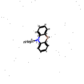 CCCCCCCN1c2ccccc2Sc2ccccc21